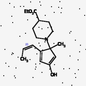 C/C=C\C1=CC(O)=CC1(C)N1CCC(C(=O)OCC)CC1